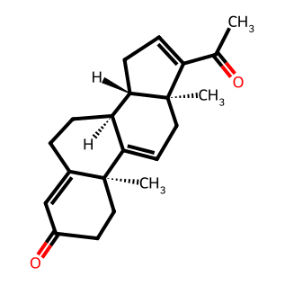 CC(=O)C1=CC[C@H]2[C@@H]3CCC4=CC(=O)CC[C@]4(C)C3=CC[C@]12C